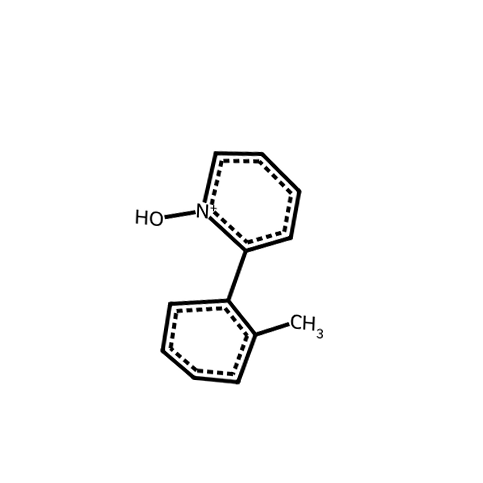 Cc1ccccc1-c1cccc[n+]1O